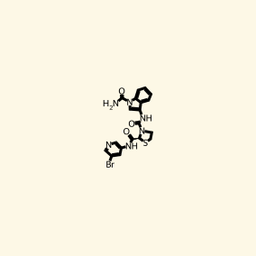 NC(=O)n1cc(NC(=O)N2CCS[C@H]2C(=O)Nc2cncc(Br)c2)c2ccccc21